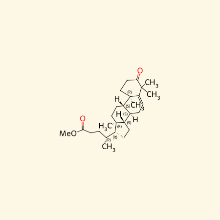 COC(=O)CC[C@@H](C)[C@H]1CC[C@H]2[C@@H]3CC=C4C(C)(C)C(=O)CC[C@]4(C)[C@H]3CC[C@]12C